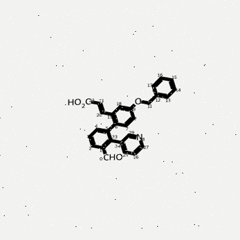 O=Cc1cccc(-c2ccc(OCc3ccccc3)cc2C=CC(=O)O)c1-c1cccnc1